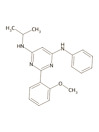 COc1ccccc1-c1nc(Nc2ccccc2)cc(NC(C)C)n1